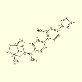 CN(c1ncc(-c2ccc(-n3ccnc3)cc2O)nn1)[C@H]1C[C@]2(C)CC[C@](C)(C1)C2